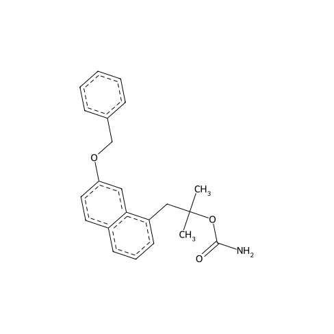 CC(C)(Cc1cccc2ccc(OCc3ccccc3)cc12)OC(N)=O